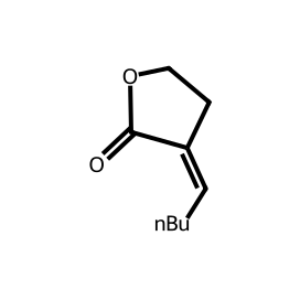 CCCCC=C1CCOC1=O